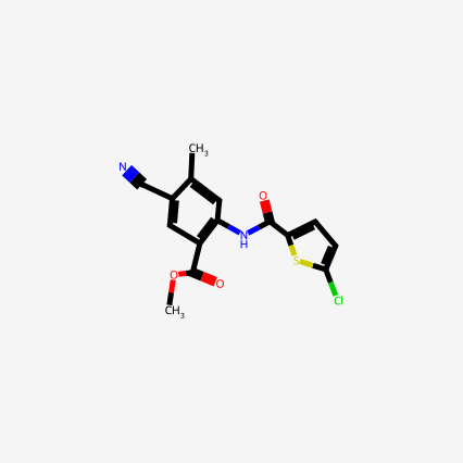 COC(=O)c1cc(C#N)c(C)cc1NC(=O)c1ccc(Cl)s1